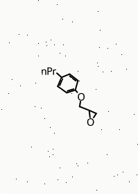 [CH]CCc1ccc(OCC2CO2)cc1